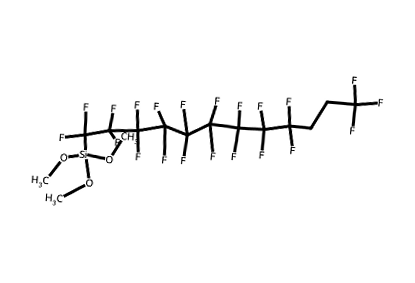 CO[Si](OC)(OC)C(F)(F)C(F)(F)C(F)(F)C(F)(F)C(F)(F)C(F)(F)C(F)(F)C(F)(F)C(F)(F)CCC(F)(F)F